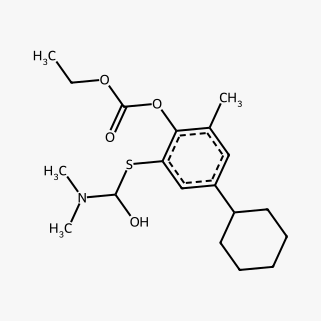 CCOC(=O)Oc1c(C)cc(C2CCCCC2)cc1SC(O)N(C)C